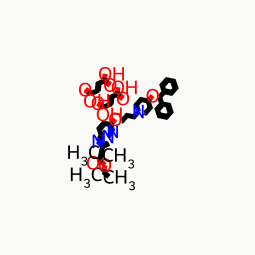 CC(C)OC(=O)C(C)(C)c1cn2nc(OCCCN3CCC(OC(c4ccccc4)c4ccccc4)CC3)ccc2n1.O=C(O)C=CC(=O)O.O=C(O)C=CC(=O)O